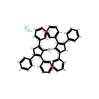 [Cl-].[Cl-].c1ccc(C2=[C]([Zr+2][C]3=C(c4ccccc4)CC(c4ccccc4)=C3c3ccccc3)C(c3ccccc3)=C(c3ccccc3)C2)cc1